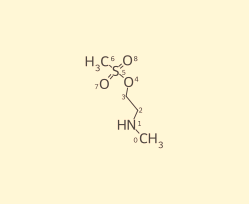 CNCCOS(C)(=O)=O